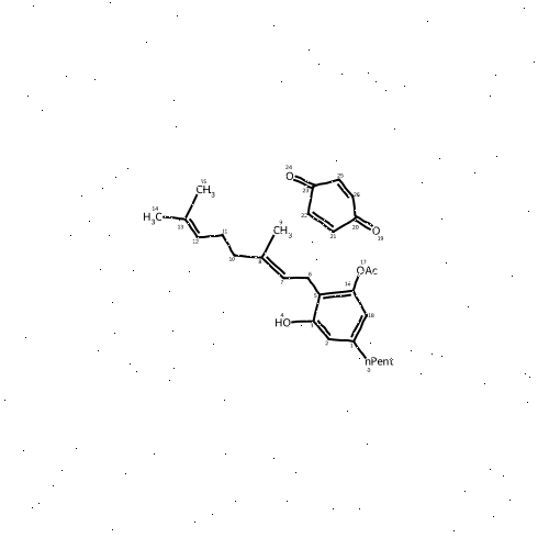 CCCCCc1cc(O)c(C/C=C(\C)CCC=C(C)C)c(OC(C)=O)c1.O=C1C=CC(=O)C=C1